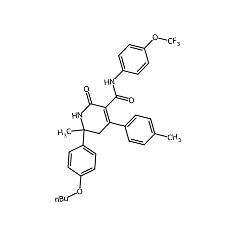 CCCCOc1ccc(C2(C)CC(c3ccc(C)cc3)=C(C(=O)Nc3ccc(OC(F)(F)F)cc3)C(=O)N2)cc1